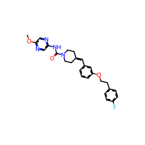 COc1cnc(NC(=O)N2CCC(=Cc3cccc(OCCc4ccc(F)cc4)c3)CC2)cn1